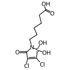 O=C(O)CCCCCN1C(=O)C(Cl)=C(Cl)S1(O)O